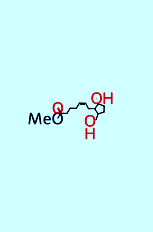 COC(=O)CCC/C=C\C[C@@H]1C(CO)CC[C@H]1O